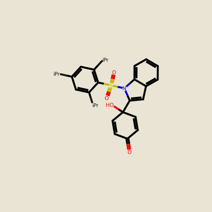 CC(C)c1cc(C(C)C)c(S(=O)(=O)n2c(C3(O)C=CC(=O)C=C3)cc3ccccc32)c(C(C)C)c1